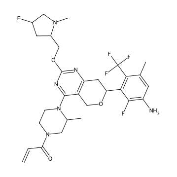 C=CC(=O)N1CCN(c2nc(OCC3CC(F)CN3C)nc3c2COC(c2c(F)c(N)cc(C)c2C(F)(F)F)C3)C(C)C1